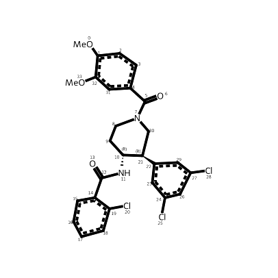 COc1ccc(C(=O)N2CC[C@@H](NC(=O)c3ccccc3Cl)[C@H](c3cc(Cl)cc(Cl)c3)C2)cc1OC